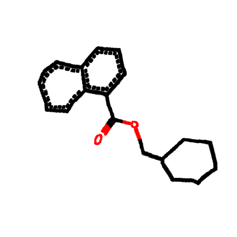 O=C(OCC1CCCCC1)c1cccc2ccccc12